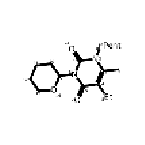 CCCCCn1c(C)c(CC)c(=O)n(C2CCCCO2)c1=O